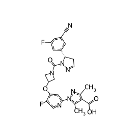 Cc1nn(-c2cc(OC3CN(C(=O)N4N=CC[C@H]4c4cc(F)cc(C#N)c4)C3)c(F)cn2)c(C)c1C(=O)O